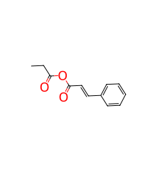 CCC(=O)OC(=O)/C=C/c1ccccc1